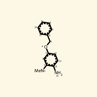 CNc1cc(OCc2ccccc2)ccc1N